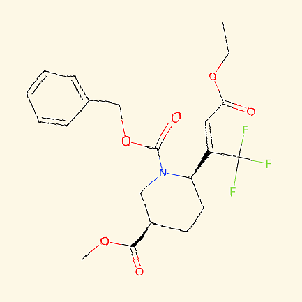 CCOC(=O)C=C([C@H]1CC[C@@H](C(=O)OC)CN1C(=O)OCc1ccccc1)C(F)(F)F